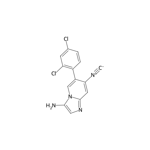 [C-]#[N+]c1cc2ncc(N)n2cc1-c1ccc(Cl)cc1Cl